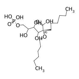 CCCCCCO[C@@](CCCCCC)(C(=O)O)C(O)C(O)C(O)COP(=O)(O)O